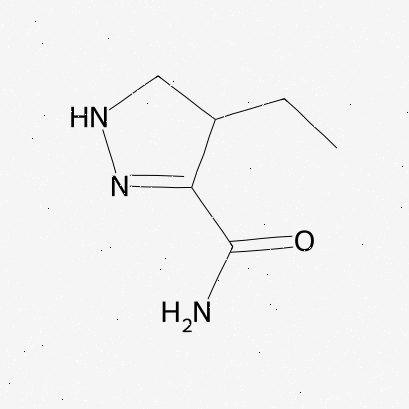 CCC1CNN=C1C(N)=O